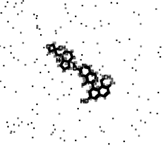 CCc1c(F)ccc2cc(O)cc(-c3ncc4cnc(OC[C@]56CCC[C@H]5N(CC5(C)COC5)CCC6)nc4c3F)c12